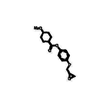 COC1CCC(C(=O)Oc2ccc(OCC3CO3)cc2)CC1